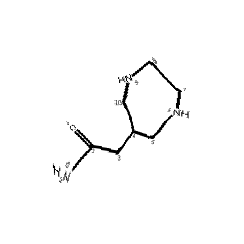 NC(=O)CC1CNCCNC1